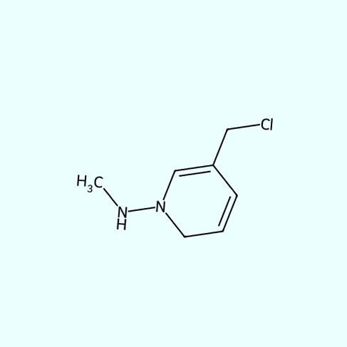 CNN1C=C(CCl)C=CC1